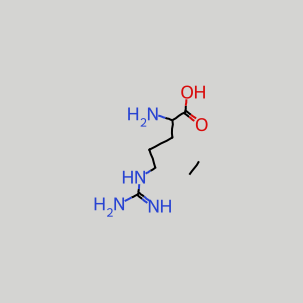 CC.N=C(N)NCCCC(N)C(=O)O